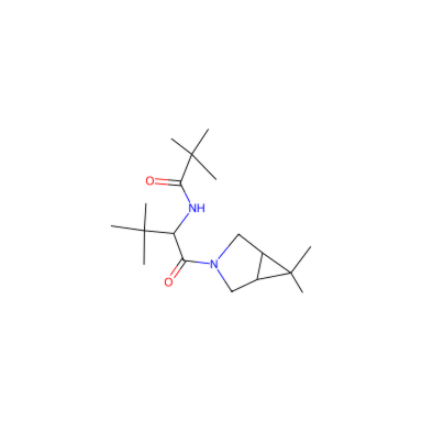 CC(C)(C)C(=O)NC(C(=O)N1CC2C(C1)C2(C)C)C(C)(C)C